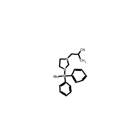 CC(C#N)CN1CCN([Si](c2ccccc2)(c2ccccc2)C(C)(C)C)C1